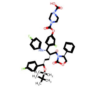 CC(C)(C)[Si](C)(C)O[C@@H](CC[C@@H](C(=O)N1C(=O)OC[C@@H]1c1ccccc1)[C@H](Nc1ccc(F)cc1)c1ccc(OC(=O)N2CCN(C(=O)O)CC2)cc1F)c1ccc(F)cc1